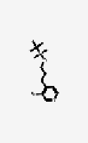 CC(C)(C)[Si](C)(C)OCCCc1ccncc1Br